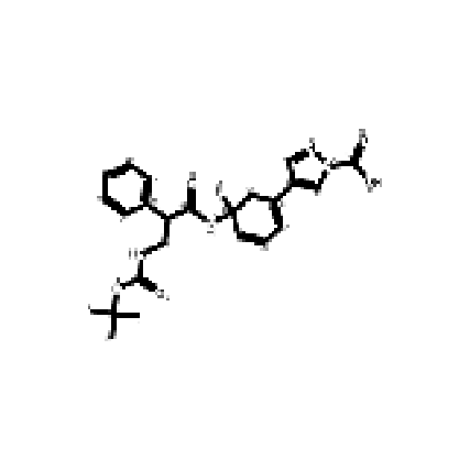 CC(C)(C)OC(=O)NCC(C(=O)NC1(F)C=CC=C(c2cnn(C(=O)O)c2)C1)c1ccccc1